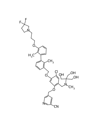 Cc1c(COc2cc(OCc3cncc(C#N)c3)c(CN(C)C(CO)(CO)CO)cc2Cl)cccc1-c1cccc(OCCCN2CCC(F)(F)C2)c1C